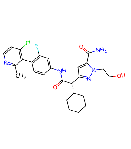 Cc1nccc(Cl)c1-c1ccc(NC(=O)[C@H](c2cc(C(N)=O)n(CCO)n2)C2CCCCC2)cc1F